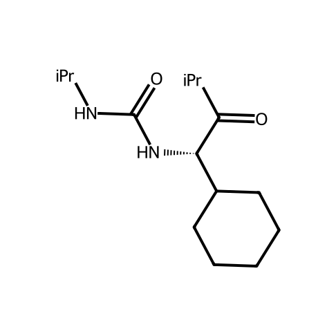 CC(C)NC(=O)N[C@H](C(=O)C(C)C)C1CCCCC1